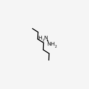 CCCCCCC.NN